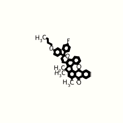 CCCCOc1ccc(C2(c3ccc(F)cc3)C=Cc3c4c(c5ccccc5c3O2)-c2c(cc(C)c3c2C(=O)c2ccccc2C3=O)C4(C)C)cc1